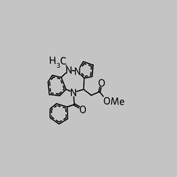 COC(=O)CC1c2cccn2N(C)c2ccccc2N1C(=O)c1ccccc1